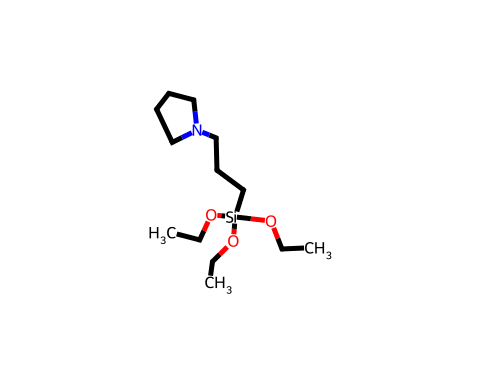 CCO[Si](CCCN1CCCC1)(OCC)OCC